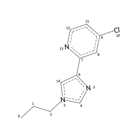 CCCn1cnc(-c2cc(Cl)ccn2)c1